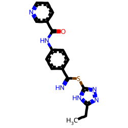 CCc1nnc(SC(=N)c2ccc(NC(=O)c3cccnc3)cc2)[nH]1